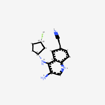 N#Cc1ccc2ncc(N)c(N[C@@H]3CC[C@H](F)C3)c2c1